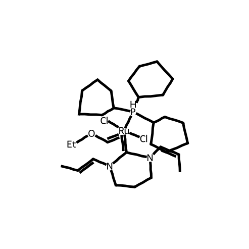 CC=CN1CCCN(C=CC)[C]1=[Ru]([Cl])([Cl])(=[CH]OCC)[PH](C1CCCCC1)(C1CCCCC1)C1CCCCC1